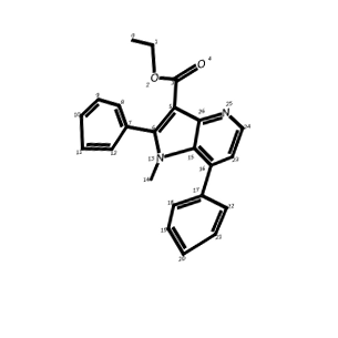 CCOC(=O)c1c(-c2ccccc2)n(C)c2c(-c3ccccc3)ccnc12